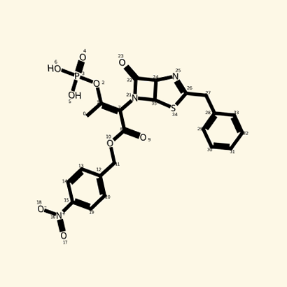 CC(OP(=O)(O)O)=C(C(=O)OCc1ccc([N+](=O)[O-])cc1)N1C(=O)C2N=C(Cc3ccccc3)SC21